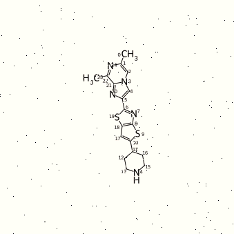 Cc1cn2cc(-c3nc4sc(C5CCNCC5)cc4s3)nc2c(C)n1